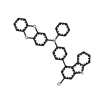 Clc1cc(-c2ccc(N(c3ccccc3)c3ccc4c(c3)Oc3ccccc3O4)cc2)c2c(c1)sc1ccccc12